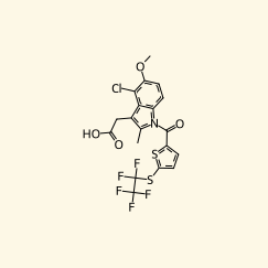 COc1ccc2c(c1Cl)c(CC(=O)O)c(C)n2C(=O)c1ccc(SC(F)(F)C(F)(F)F)s1